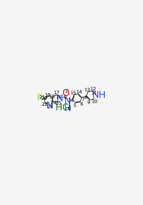 Cl.O=C(Nc1ccc(C2=CCNCC2)cc1)N1Cc2cc(F)cnc2C1